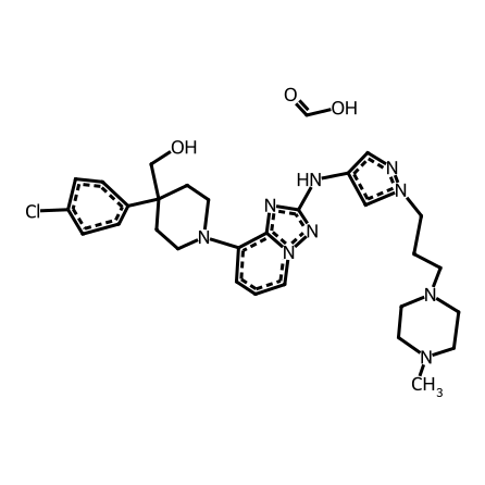 CN1CCN(CCCn2cc(Nc3nc4c(N5CCC(CO)(c6ccc(Cl)cc6)CC5)cccn4n3)cn2)CC1.O=CO